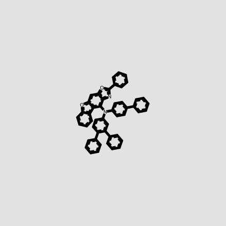 c1ccc(-c2ccc(N(c3ccc(-c4ccccc4)c(-c4ccccc4)c3)c3c4nc(-c5ccccc5)oc4cc4oc5ccccc5c34)cc2)cc1